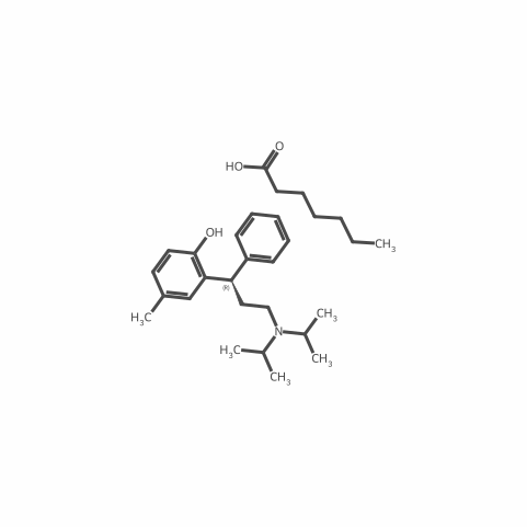 CCCCCCC(=O)O.Cc1ccc(O)c([C@H](CCN(C(C)C)C(C)C)c2ccccc2)c1